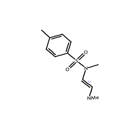 CN/C=C/N(C)S(=O)(=O)c1ccc(C)cc1